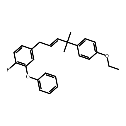 CCOc1ccc(C(C)(C)C=CCc2ccc(F)c(Oc3ccccc3)c2)cc1